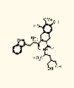 COc1c(O)cc2c(c1O)CN(C(=O)[C@@H](N)Cc1c[nH]c3ccccc13)[C@H](C(=O)N[C@@H](CC(CO)CO)C(=O)O)C2